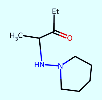 CCC(=O)C(C)NN1CCCCC1